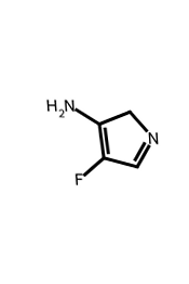 NC1=C(F)C=NC1